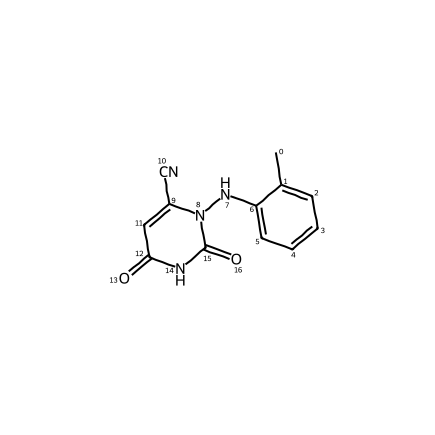 Cc1ccccc1Nn1c(C#N)cc(=O)[nH]c1=O